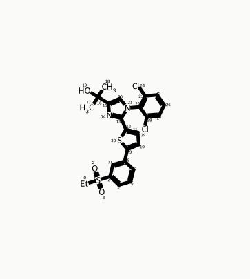 CCS(=O)(=O)c1cccc(-c2ccc(-c3nc(C(C)(C)O)cn3-c3c(Cl)cccc3Cl)s2)c1